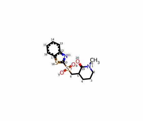 CN1CCCC(CS(=O)(=O)c2nc3ccccc3s2)C1=O